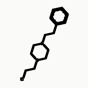 ClCCN1CCN(CCc2ccccc2)CC1